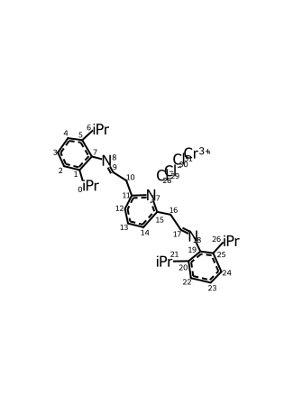 CC(C)c1cccc(C(C)C)c1N=CCc1cccc(CC=Nc2c(C(C)C)cccc2C(C)C)n1.[Cl-].[Cl-].[Cl-].[Cr+3]